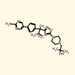 CC(C)C(C)(c1ccc(-c2cnc(N)nc2)cc1)c1noc(N2CCN(CC(C)(C)O)CC2)n1